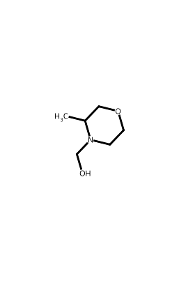 CC1COCCN1CO